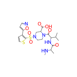 CNC(C)C(=O)NC(C(=O)N1CCN(S(=O)(=O)c2sccc2-c2ccno2)CC1C(=O)O)C(C)C